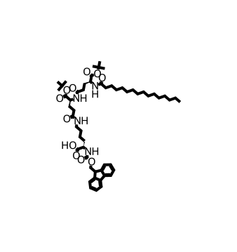 CCCCCCCCCCCCCCCC(=O)N[C@@H](CCC(=O)N[C@@H](CCC(=O)NCCCC[C@H](NC(=O)OCC1c2ccccc2-c2ccccc21)C(=O)O)C(=O)OC(C)(C)C)C(=O)OC(C)(C)C